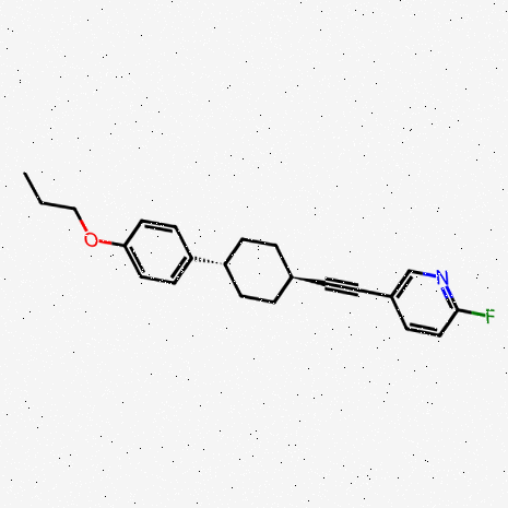 CCCOc1ccc([C@H]2CC[C@H](C#Cc3ccc(F)nc3)CC2)cc1